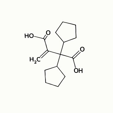 C=C(C(=O)O)C(C(=O)O)(C1CCCC1)C1CCCC1